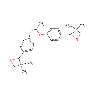 CC(Oc1ccc(C2OCC2(C)C)cc1)Oc1ccc(C2OCC2(C)C)cc1